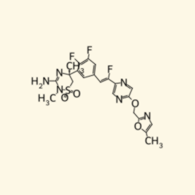 Cc1cnc(COc2cnc(/C(F)=C/c3cc(F)c(F)c([C@]4(C)CS(=O)(=O)N(C)C(N)=N4)c3)cn2)o1